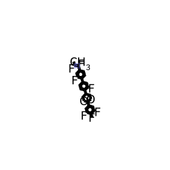 C/C(F)=C(\F)c1ccc(-c2ccc(C3COC(c4cc(F)c(F)c(F)c4)OC3)c(F)c2)c(F)c1